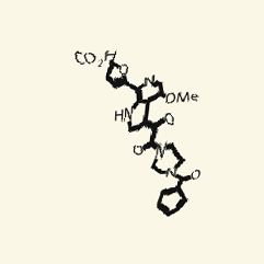 COc1cnc(-c2ccc(C(=O)O)o2)c2c1C(C(=O)C(=O)N1CCN(C(=O)c3ccccc3)CC1)CN2